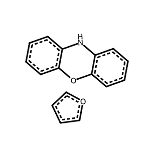 c1ccc2c(c1)Nc1ccccc1O2.c1ccoc1